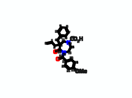 C=CCC1(Cc2ccccc2)CN(C(=O)O)CCN(C(=O)c2ccc(OC)cc2)C1=O